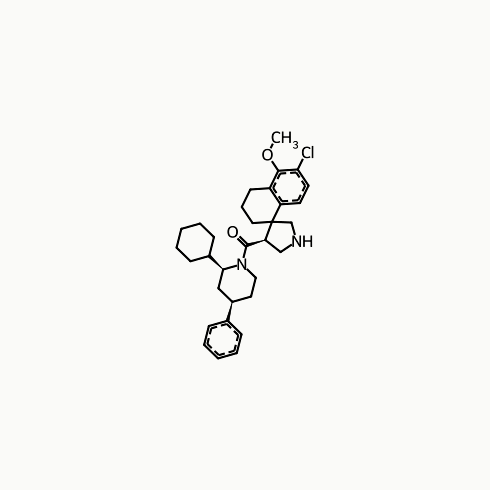 COc1c(Cl)ccc2c1CCCC21CNC[C@H]1C(=O)N1CC[C@@H](c2ccccc2)C[C@H]1C1CCCCC1